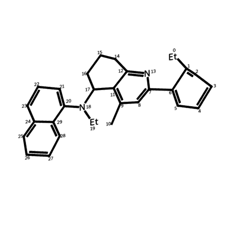 CCc1ccccc1-c1cc(C)c2c(n1)CCCC2N(CC)c1cccc2ccccc12